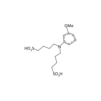 COc1cccc(N(CCCCS(=O)(=O)O)CCCCS(=O)(=O)O)c1